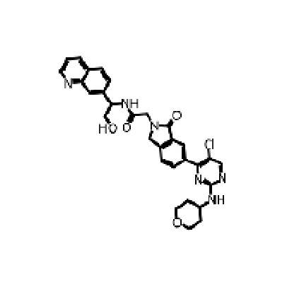 O=C(CN1Cc2ccc(-c3nc(NC4CCOCC4)ncc3Cl)cc2C1=O)NC(CO)c1ccc2cccnc2c1